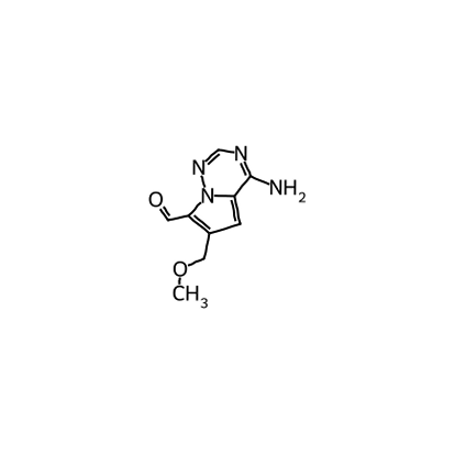 COCc1cc2c(N)ncnn2c1C=O